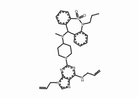 C=CCNc1nc(N2CCC(N(C)C3c4ccccc4N(CCC)S(=O)(=O)c4ccccc43)CC2)nc2c1ncn2CC=C